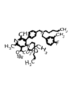 C=CCCCN(Cc1ccc(-c2c(C)nc(C)c(C(OC(C)(C)C)C(=O)O)c2N2CCC(C)(OCC=C)CC2)cc1)Cc1ccc(F)c(C)c1